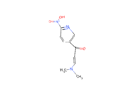 CN(C)/C=C/C(=O)c1ccc([N+](=O)O)nc1